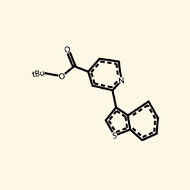 CC(C)(C)OC(=O)c1ccnc(-c2csc3ccccc23)c1